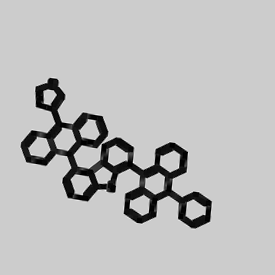 C1=CC2=C(c3ccoc3)c3ccccc3C(c3cccc4sc5c(-c6c7ccccc7c(-c7ccccc7)c7ccccc67)cccc5c34)C2C=C1